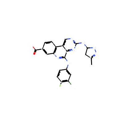 CC1=NNC(Nc2ncc3c(n2)c(Nc2ccc(F)c(Cl)c2)nc2cc(C(=O)O)ccc23)C1